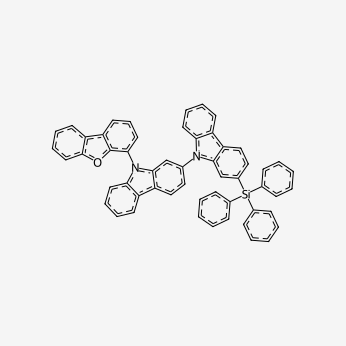 c1ccc([Si](c2ccccc2)(c2ccccc2)c2ccc3c4ccccc4n(-c4ccc5c6ccccc6n(-c6cccc7c6oc6ccccc67)c5c4)c3c2)cc1